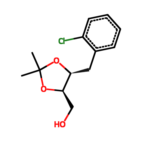 CC1(C)O[C@H](CO)[C@@H](Cc2ccccc2Cl)O1